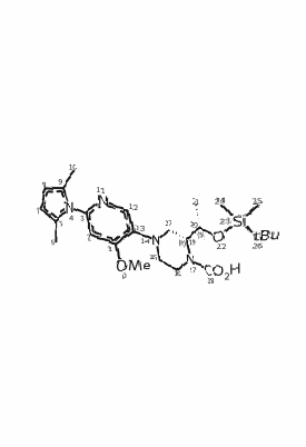 COc1cc(-n2c(C)ccc2C)ncc1N1CCN(C(=O)O)[C@@H]([C@H](C)O[Si](C)(C)C(C)(C)C)C1